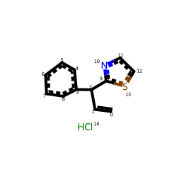 C=CC(c1ccccc1)c1nccs1.Cl